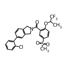 CC(Oc1ccc(S(C)(=O)=O)cc1C(=O)N1Cc2ccc(-c3ccccc3Cl)cc2C1)C(F)(F)F